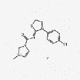 C[n+]1ccn(C(=O)N=C2SCCN2c2ccc(Cl)cc2)c1.[I-]